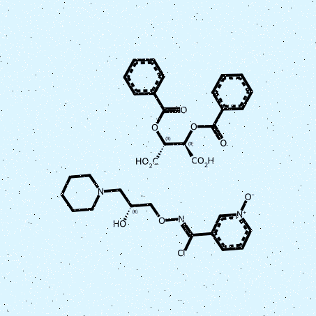 O=C(O[C@@H](C(=O)O)[C@@H](OC(=O)c1ccccc1)C(=O)O)c1ccccc1.[O-][n+]1cccc(C(Cl)=NOC[C@H](O)CN2CCCCC2)c1